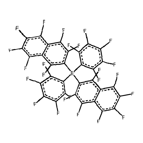 Fc1c(F)c(F)c([B-](c2c(F)c(F)c(F)c(F)c2F)(c2c(F)c(F)c3c(F)c(F)c(F)c(F)c3c2F)c2c(F)c(F)c3c(F)c(F)c(F)c(F)c3c2F)c(F)c1F